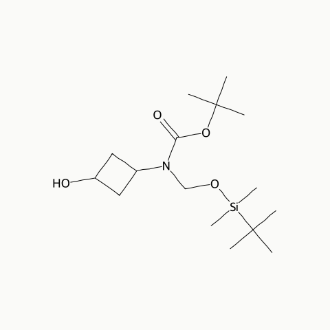 CC(C)(C)OC(=O)N(CO[Si](C)(C)C(C)(C)C)C1CC(O)C1